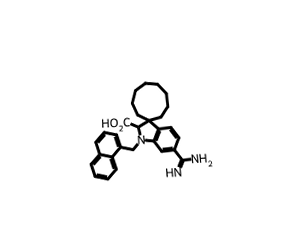 N=C(N)c1ccc2c(c1)N(Cc1cccc3ccccc13)C(C(=O)O)C21CCCCCCCC1